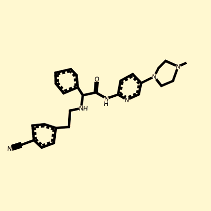 CN1CCN(c2ccc(NC(=O)C(NCCc3ccc(C#N)cc3)c3ccccc3)nc2)CC1